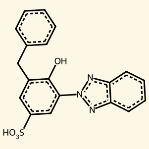 O=S(=O)(O)c1cc(Cc2ccccc2)c(O)c(-n2nc3ccccc3n2)c1